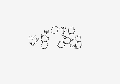 C[C@@H](c1ccccc1)N(C(=O)c1ccccc1C(=O)N[C@H]1CC[C@@H](Nc2nc3c(c(N(C)C)n2)CCCC3)CC1)[C@@H](C)c1ccccc1